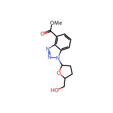 COC(=O)c1cccc2c1nnn2C1CCC(CO)O1